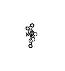 CN(C)C(=O)C(CC(=O)OCc1ccccc1)N(C)C(=O)OCC1c2ccccc2-c2ccccc21